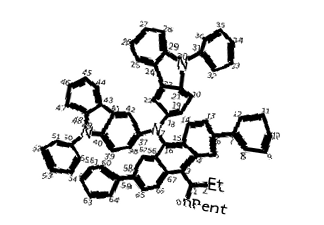 CCCCCC(CC)c1c2cc(-c3ccccc3)ccc2c(N(c2ccc3c(c2)c2ccccc2n3-c2ccccc2)c2ccc3c(c2)c2ccccc2n3-c2ccccc2)c2cc(-c3ccccc3)ccc12